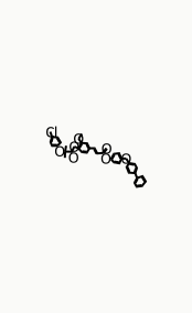 COc1cc(C=CC(=O)Oc2ccc(Oc3ccc(-c4ccccc4)cc3)cc2)ccc1OC(=O)C(C)(C)Oc1ccc(Cl)cc1